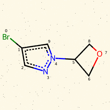 Brc1cnn(C2COC2)c1